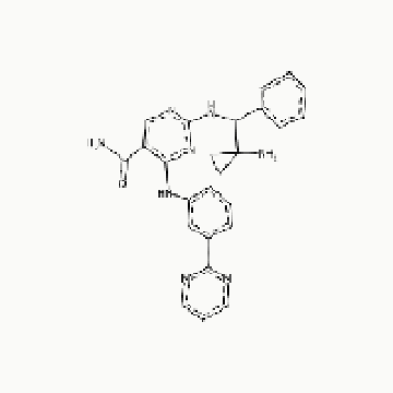 NC(=O)c1cnc(NC(c2ccccc2)C2(N)CC2)nc1Nc1cccc(-c2ncccn2)c1